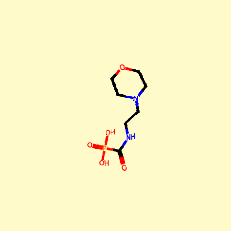 O=C(NCCN1CCOCC1)P(=O)(O)O